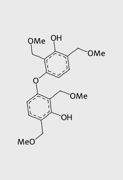 COCc1ccc(Oc2ccc(COC)c(O)c2COC)c(COC)c1O